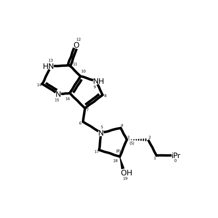 CC(C)CC[C@H]1CN(Cc2c[nH]c3c(=O)[nH]cnc23)C[C@@H]1O